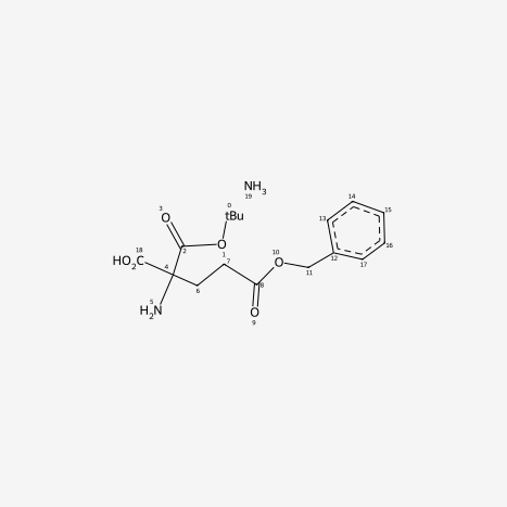 CC(C)(C)OC(=O)C(N)(CCC(=O)OCc1ccccc1)C(=O)O.N